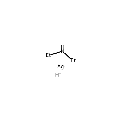 CCNCC.[Ag].[H+]